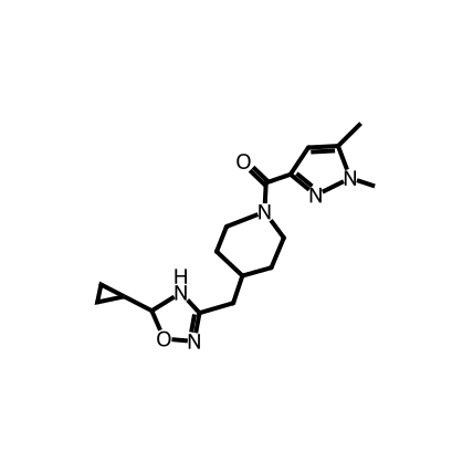 Cc1cc(C(=O)N2CCC(CC3=NOC(C4CC4)N3)CC2)nn1C